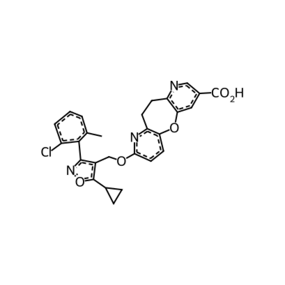 Cc1cccc(Cl)c1-c1noc(C2CC2)c1COc1ccc2c(n1)CCc1ncc(C(=O)O)cc1O2